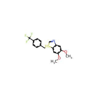 COc1cc2c(cc1OC)[SH](Cc1ccc(C(F)(F)F)cc1)C=N2